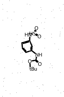 CC(C)(C)OC(=O)Nc1cccc(N[SH](=O)=O)c1